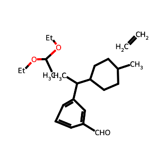 C=C.CC1CCC(C(C)c2cccc(C=O)c2)CC1.CCOC(C)OCC